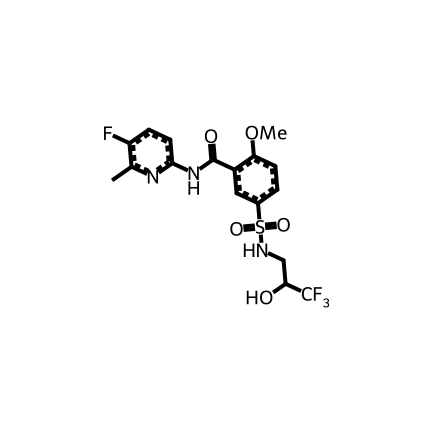 COc1ccc(S(=O)(=O)NCC(O)C(F)(F)F)cc1C(=O)Nc1ccc(F)c(C)n1